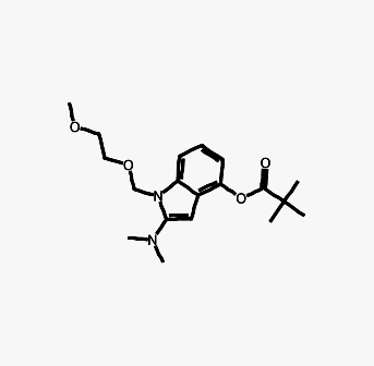 COCCOCn1c(N(C)C)cc2c(OC(=O)C(C)(C)C)cccc21